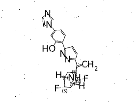 C=C(c1ccc(-c2ccc(-n3ccnc3)cc2O)nn1)[C@@H]1C[C@@H]2N[C@@H](C[C@@H]2F)[C@H]1F